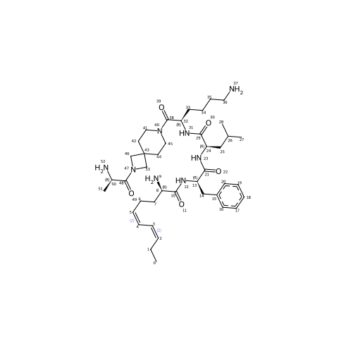 CC/C=C\C=C/CC[C@@H](N)C(=O)N[C@H](Cc1ccccc1)C(=O)N[C@H](CC(C)C)C(=O)N[C@H](CCCCN)C(=O)N1CCC2(CC1)CN(C(=O)[C@@H](C)N)C2